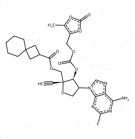 C#C[C@]1(COC(=O)C2CC3(CCCCC3)C2)OCC(n2cnc3c(N)nc(F)nc32)[C@@H]1OC(=O)OCc1oc(=O)oc1C